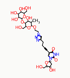 CC1C(OCCn2cc(CCC#Cc3cn([C@H]4C[C@@H](O)[C@@H](CO)O4)c(=O)[nH]c3=O)nn2)OC(CO)C(OC2OC(CO)C(O)C(O)C2O)C1O